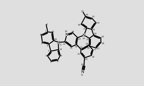 Cc1ccc2c3ccccc3n(-c3cc(-c4cccc(C#N)c4)c(-n4c5ccccc5c5ccc(C)cc54)cn3)c2c1